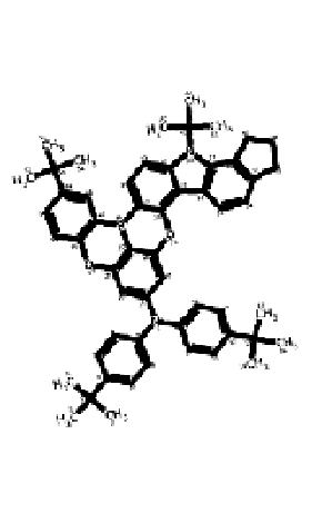 CC(C)(C)c1ccc(N(c2ccc(C(C)(C)C)cc2)c2cc3c4c(c2)Oc2c(ccc5c2c2ccc6c(c2n5C(C)(C)C)CCC6)B4c2cc(C(C)(C)C)ccc2O3)cc1